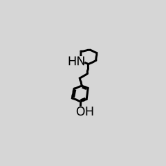 Oc1ccc(CCC2CCCCN2)cc1